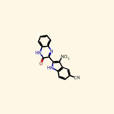 N#Cc1ccc2[nH]c(-c3nc4ccccc4[nH]c3=O)c([N+](=O)[O-])c2c1